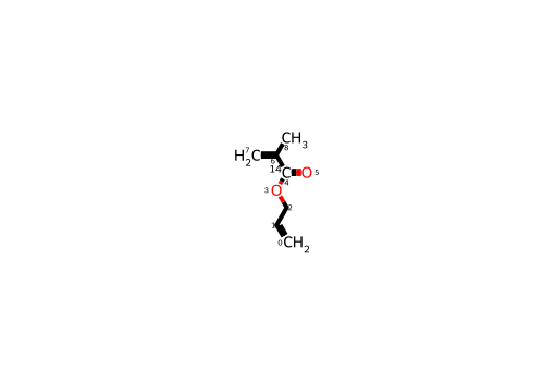 C=CCO[14C](=O)C(=C)C